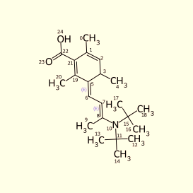 CC1=CC(C)/C(=C\C=C(/C)N(C(C)(C)C)C(C)(C)C)C(C)=C1C(=O)O